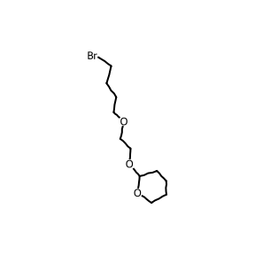 BrCCCCOCCOC1CCCCO1